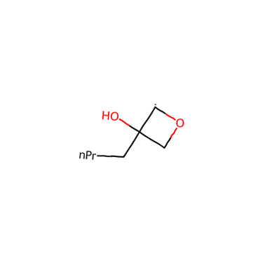 CCCCC1(O)[CH]OC1